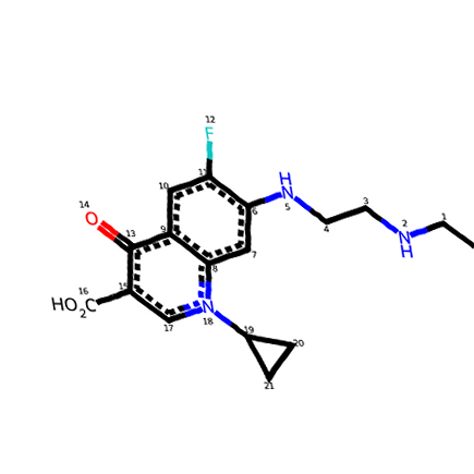 [CH2]C(=O)CNCCNc1cc2c(cc1F)c(=O)c(C(=O)O)cn2C1CC1